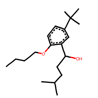 CCCCOc1ccc(C(C)(C)C)cc1C(O)CCC(C)C